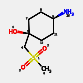 CS(=O)(=O)C[C@]1(O)CC[C@@H](N)CC1